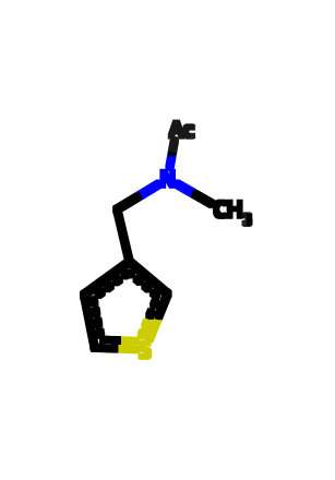 CC(=O)N(C)Cc1ccsc1